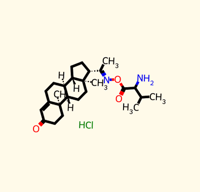 CC(=NOC(=O)C(N)C(C)C)[C@H]1CC[C@H]2[C@@H]3CCC4=CC(=O)CC[C@]4(C)[C@H]3CC[C@]12C.Cl